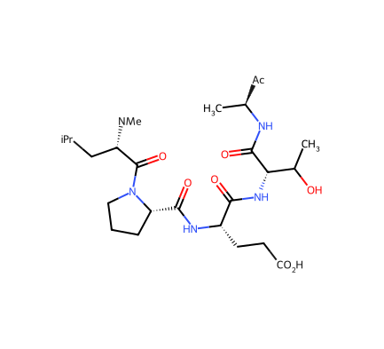 CN[C@@H](CC(C)C)C(=O)N1CCC[C@H]1C(=O)N[C@@H](CCC(=O)O)C(=O)N[C@H](C(=O)N[C@@H](C)C(C)=O)C(C)O